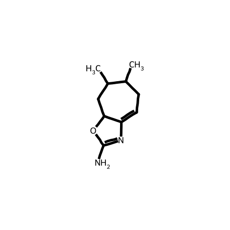 CC1CC=C2N=C(N)OC2CC1C